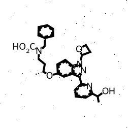 CC(O)c1cccc(-c2nn(C3CCO3)c3ccc(O[C@H](C)CCN(Cc4ccccc4)C(=O)O)cc23)n1